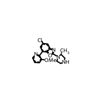 COc1cccnc1-c1cc(Cl)cc2nc(N3CCNC[C@@H]3C)oc12